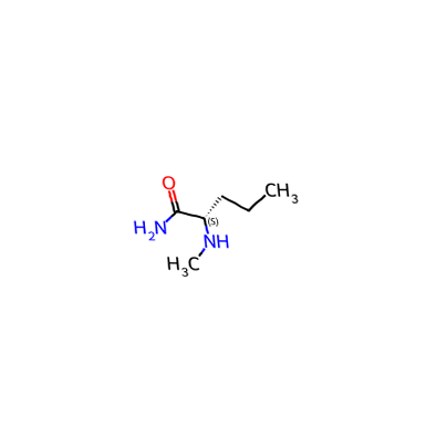 CCC[C@H](NC)C(N)=O